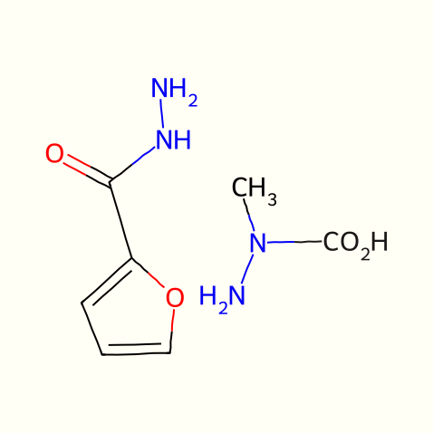 CN(N)C(=O)O.NNC(=O)c1ccco1